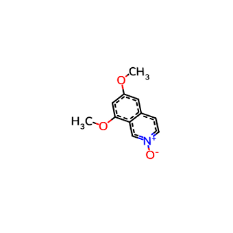 COc1cc(OC)c2c[n+]([O-])ccc2c1